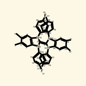 Cc1cc2c(cc1C)N(c1ccc(F)cc1)C(=C1N(c3ccc(F)cc3)c3cc(C)c(C)cc3N1c1ccc(F)cc1)N2c1ccc(F)cc1